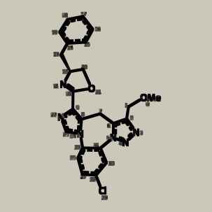 COCc1nnn2c1Cc1c(C3=N[C@@H](Cc4ccccc4)CO3)ncn1-c1ccc(Cl)cc1-2